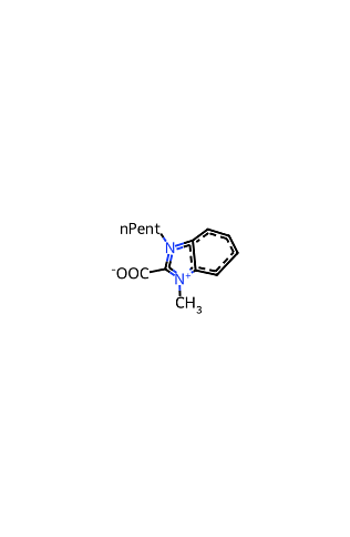 CCCCCn1c(C(=O)[O-])[n+](C)c2ccccc21